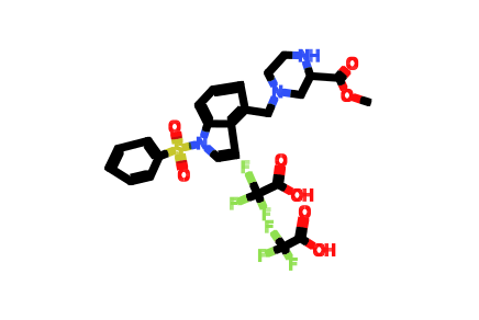 COC(=O)C1CN(Cc2cccc3c2ccn3S(=O)(=O)c2ccccc2)CCN1.O=C(O)C(F)(F)F.O=C(O)C(F)(F)F